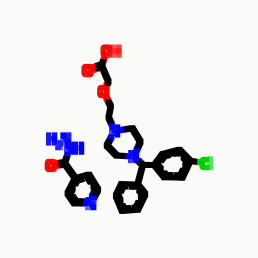 NNC(=O)c1ccncc1.O=C(O)COCCN1CCN(C(c2ccccc2)c2ccc(Cl)cc2)CC1